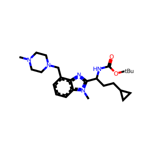 CN1CCN(Cc2cccc3c2nc(C(CCC2CC2)NC(=O)OC(C)(C)C)n3C)CC1